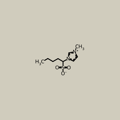 CCCCC(n1cc[n+](C)c1)S(=O)(=O)[O-]